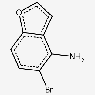 Nc1c(Br)ccc2occc12